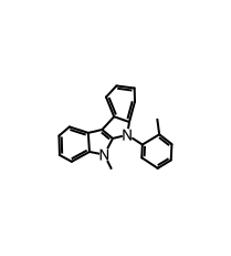 Cc1ccccc1-n1c2ccccc2c2c3ccccc3n(C)c21